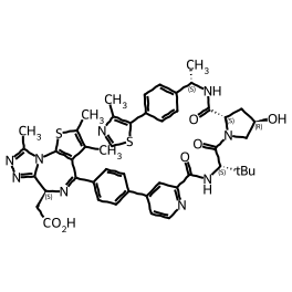 Cc1ncsc1-c1ccc([C@H](C)NC(=O)[C@@H]2C[C@@H](O)CN2C(=O)[C@@H](NC(=O)c2cc(-c3ccc(C4=N[C@@H](CC(=O)O)c5nnc(C)n5-c5sc(C)c(C)c54)cc3)ccn2)C(C)(C)C)cc1